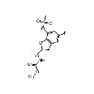 C[C@@H](NC(=O)OC(C)(C)C)C1Cc2cc(F)cc(OS(C)(=O)=O)c2O1